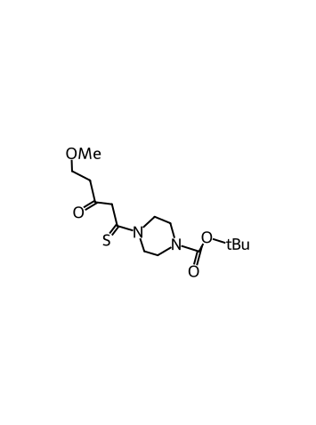 COCCC(=O)CC(=S)N1CCN(C(=O)OC(C)(C)C)CC1